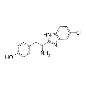 NC(Cc1ccc(O)cc1)c1nc2cc(Cl)ccc2[nH]1